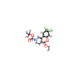 CCOC(=O)[C@H]1CCN(C(=O)OC(C)(C)C)C[C@@H]1c1ccc(F)c(F)c1